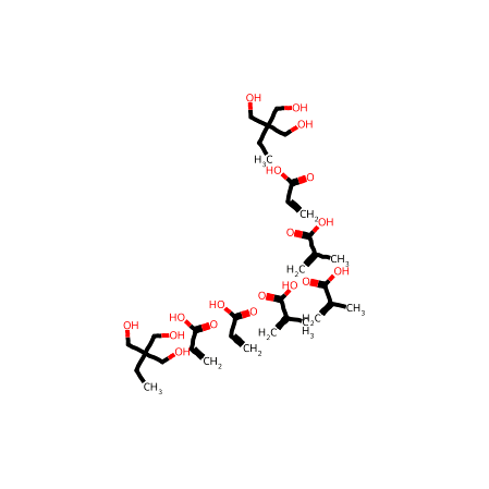 C=C(C)C(=O)O.C=C(C)C(=O)O.C=C(C)C(=O)O.C=CC(=O)O.C=CC(=O)O.C=CC(=O)O.CCC(CO)(CO)CO.CCC(CO)(CO)CO